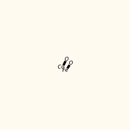 [O]=[Co].[O]=[Fe]